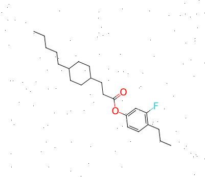 CCCCCC1CCC(CCC(=O)Oc2ccc(CCC)c(F)c2)CC1